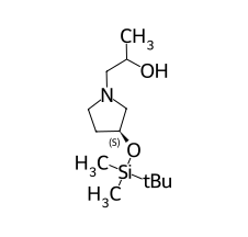 CC(O)CN1CC[C@H](O[Si](C)(C)C(C)(C)C)C1